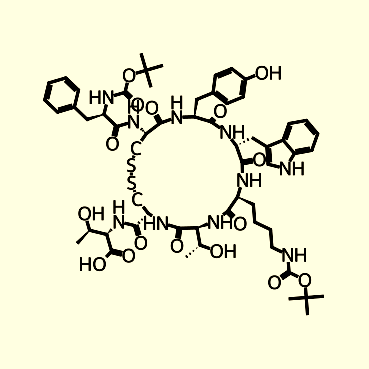 C[C@@H](O)[C@H](NC(=O)[C@@H]1CSSC[C@H](NC(=O)[C@@H](Cc2ccccc2)NC(=O)OC(C)(C)C)C(=O)N[C@@H](Cc2ccc(O)cc2)C(=O)N[C@H](Cc2c[nH]c3ccccc23)C(=O)N[C@@H](CCCCNC(=O)OC(C)(C)C)C(=O)N[C@@H]([C@@H](C)O)C(=O)N1)C(=O)O